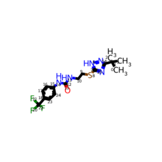 CC(C)(C)c1n[nH]c(SCCNC(=O)Nc2ccc(C(F)(F)F)cc2)n1